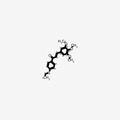 CCSc1ccc(C(=O)/C=C/c2cc(OC)c(OC)c(OC)c2)cc1